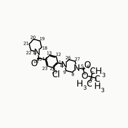 CC(C)(C)OC(=O)N1CCN(c2ccc(C(=O)N3CCCCC3)cc2Cl)CC1